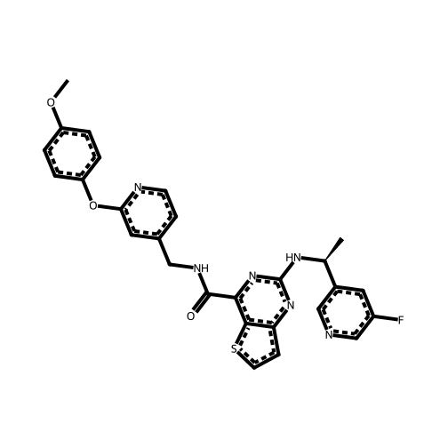 COc1ccc(Oc2cc(CNC(=O)c3nc(N[C@@H](C)c4cncc(F)c4)nc4ccsc34)ccn2)cc1